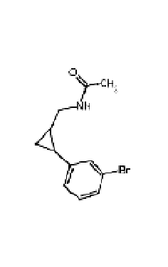 CC(=O)NCC1CC1c1cccc(Br)c1